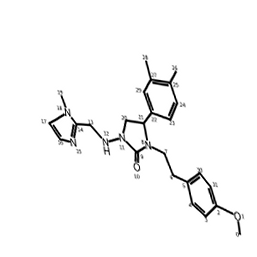 COc1ccc(CCN2C(=O)N(NCc3nccn3C)CC2c2ccc(C)c(C)c2)cc1